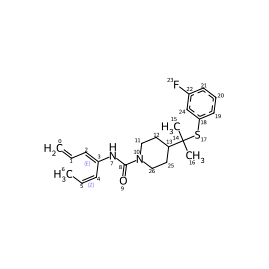 C=C/C=C(\C=C/C)NC(=O)N1CCC(C(C)(C)Sc2cccc(F)c2)CC1